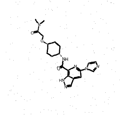 CN(C)C(=O)CO[C@H]1CC[C@H](NC(=O)c2nc(-n3ccnc3)cc3cn[nH]c23)CC1